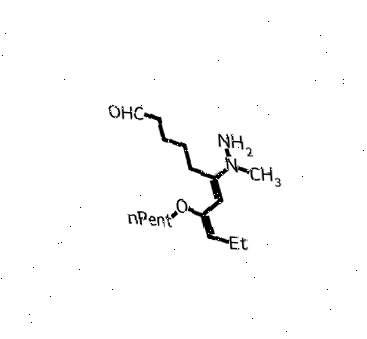 CC/C=C(\C=C(/CCCCC=O)N(C)N)OCCCCC